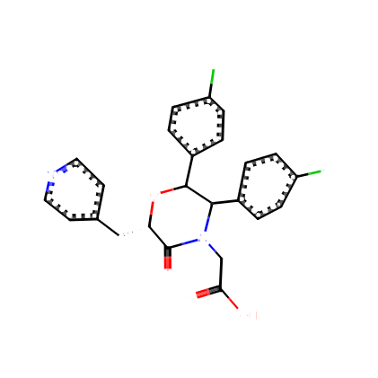 O=C(O)CN1C(=O)[C@H](Cc2ccncc2)OC(c2ccc(Cl)cc2)C1c1ccc(Cl)cc1